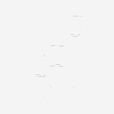 C=C(NCC)c1ncc(-c2cccc(Cl)c2)cc1C#N